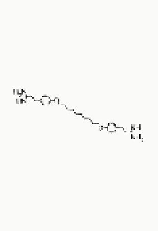 N=C(N)CCc1ccc(OCCCCCCCCCCOc2ccc(CCC(=N)N)cc2)cc1